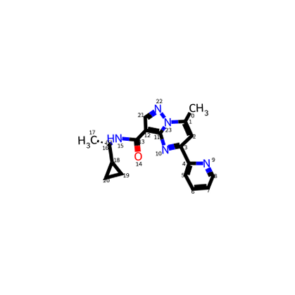 Cc1cc(-c2ccccn2)nc2c(C(=O)N[C@@H](C)C3CC3)cnn12